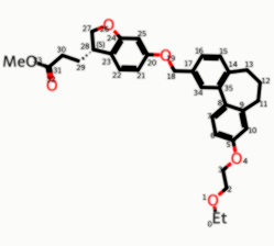 CCOCCOc1ccc2c(c1)CCCc1ccc(COc3ccc4c(c3)OC[C@H]4CCC(=O)OC)cc1-2